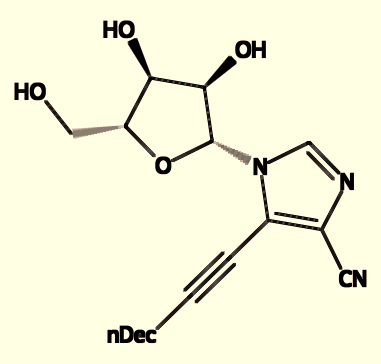 CCCCCCCCCCC#Cc1c(C#N)ncn1[C@@H]1O[C@H](CO)[C@@H](O)[C@H]1O